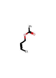 CC/C=C\COC(=O)C(C)C